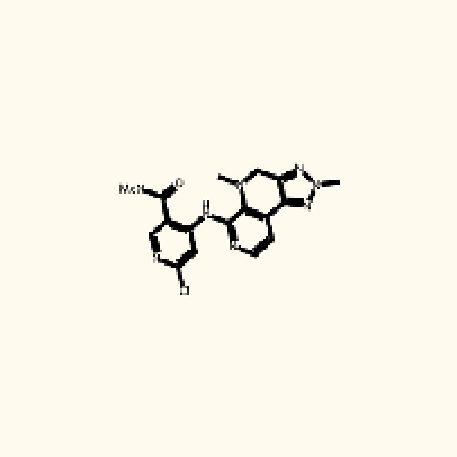 CNC(=O)c1cnc(Cl)cc1Nc1nccc2c1N(C)Cc1nn(C)nc1-2